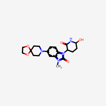 Cn1c(=O)n(C2CCC(O)NC2=O)c2ccc(N3CCC4(CC3)OCCO4)cc21